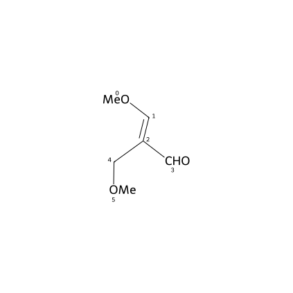 CO/C=C(/C=O)COC